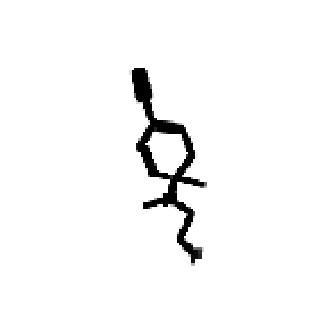 C#CC1=CCC(C)(N(C)CCF)C=C1